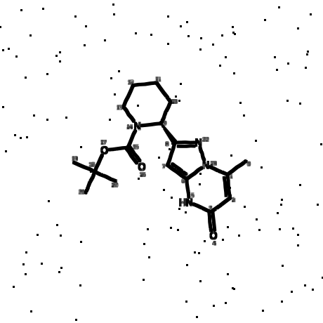 Cc1cc(=O)[nH]c2cc([C@@H]3CCCCN3C(=O)OC(C)(C)C)nn12